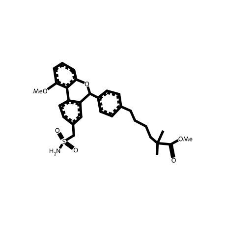 COC(=O)C(C)(C)CCCCc1ccc(C2Oc3cccc(OC)c3-c3ccc(CS(N)(=O)=O)cc32)cc1